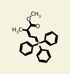 COC(=O)C(C)=CC=P(c1ccccc1)(c1ccccc1)c1ccccc1